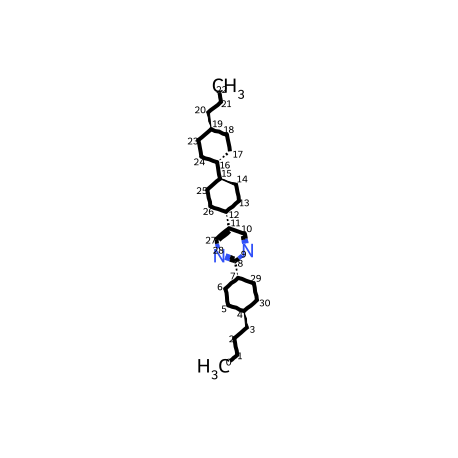 CCCC[C@H]1CC[C@H](c2ncc([C@H]3CC[C@H]([C@H]4CC[C@H](CCC)CC4)CC3)cn2)CC1